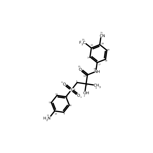 CC(O)(CS(=O)(=O)c1ccc(N)cc1)C(=O)Nc1ccc(C#N)c(C(F)(F)F)c1